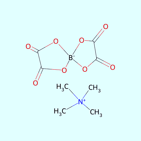 C[N+](C)(C)C.O=C1O[B-]2(OC1=O)OC(=O)C(=O)O2